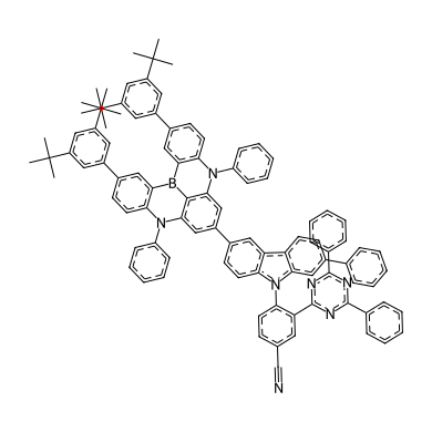 CC(C)(C)c1cc(-c2ccc3c(c2)B2c4cc(-c5cc(C(C)(C)C)cc(C(C)(C)C)c5)ccc4N(c4ccccc4)c4cc(-c5ccc6c(c5)c5ccc(-c7ccccc7)cc5n6-c5ccc(C#N)cc5-c5nc(-c6ccccc6)nc(-c6ccccc6)n5)cc(c42)N3c2ccccc2)cc(C(C)(C)C)c1